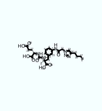 C[C@@](Cc1cccc(NC(=O)Cn2cc(CCCF)nn2)c1)(NC(=O)N[C@@H](CCC(=O)O)C(=O)O)C(=O)O